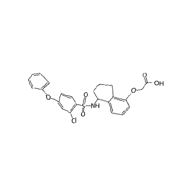 O=C(O)COc1cccc2c1CCCC2NS(=O)(=O)c1ccc(Oc2ccccc2)cc1Cl